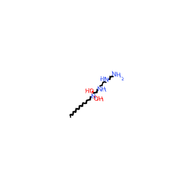 CCCCCCCCCCCCCCN(O)C(O)CCNCCCCNCCCN